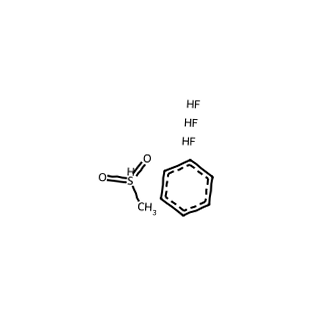 C[SH](=O)=O.F.F.F.c1ccccc1